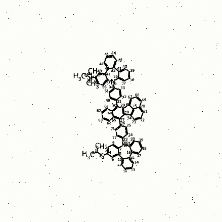 CC(C)Sc1ccc2c(c1)-c1ccccc1-c1ccccc1N2c1ccc(-c2c3c(c(-c4ccc(N5c6ccccc6-c6ccccc6-c6cc([Si](C)(C)C)ccc65)cc4)c4ccccc24)-c2cccc4cccc-3c24)cc1